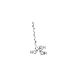 CCCCCCCCCCCCCC(C)(O)C(C)(O)C(C)(C)O